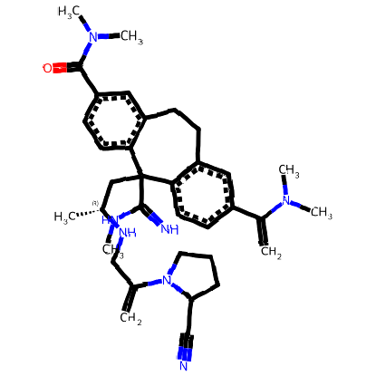 C=C(c1ccc2c(c1)CCc1cc(C(=O)N(C)C)ccc1C2(C[C@@H](C)NCC(=C)N1CCCC1C#N)C(=N)NC)N(C)C